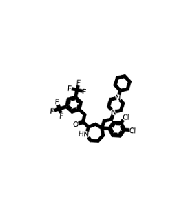 O=C(Cc1cc(C(F)(F)F)cc(C(F)(F)F)c1)C1CC(CCN2CCN(C3CCCCC3)CC2)(c2ccc(Cl)c(Cl)c2)CCCN1